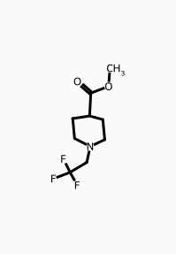 COC(=O)C1CCN(CC(F)(F)F)CC1